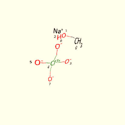 CO.[Na+].[O-][Cl+3]([O-])([O-])[O-]